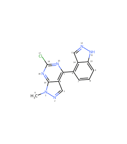 Cn1ncc2c(-c3cccc4[nH]ncc34)nc(Cl)nc21